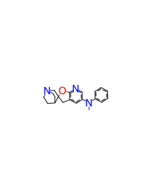 CN(c1ccccc1)c1cnc2c(c1)CC1(CN3CCC1CC3)O2